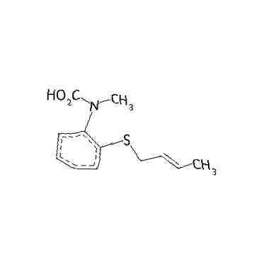 CC=CCSc1ccccc1N(C)C(=O)O